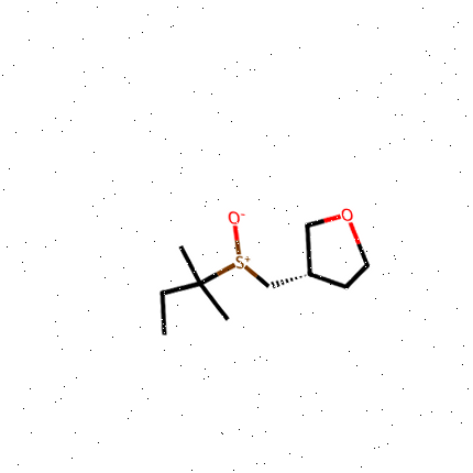 CCC(C)(C)[S+]([O-])C[C@H]1CCOC1